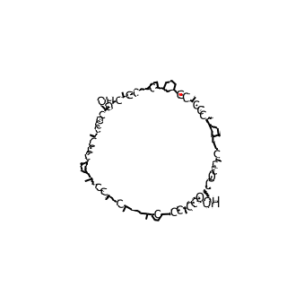 CC1CCCC2CCC(C2)C(C)CCCC(C)CCC(C)CCCC(C)C2CCC(CCCC(C)CCOC(CO)COCCC(C)CCCC3CCC(C3)C(C)CCCC(C)CCC3(C)CCCC(C3)C3CCC(CCCC(C)CCOC(CO)COCC1)C3)C2